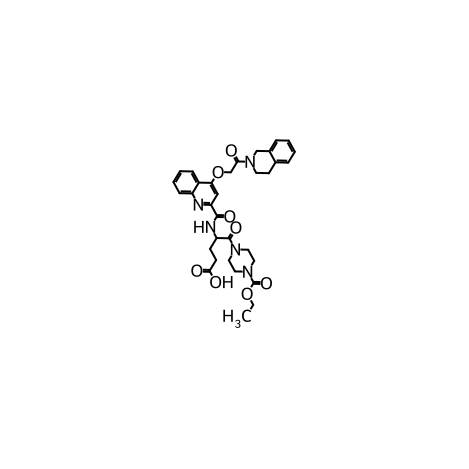 CCOC(=O)N1CCN(C(=O)C(CCC(=O)O)NC(=O)c2cc(OCC(=O)N3CCc4ccccc4C3)c3ccccc3n2)CC1